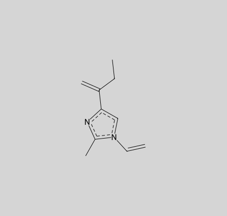 C=Cn1cc(C(=C)CC)nc1C